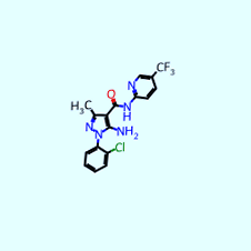 Cc1nn(-c2ccccc2Cl)c(N)c1C(=O)Nc1ccc(C(F)(F)F)cn1